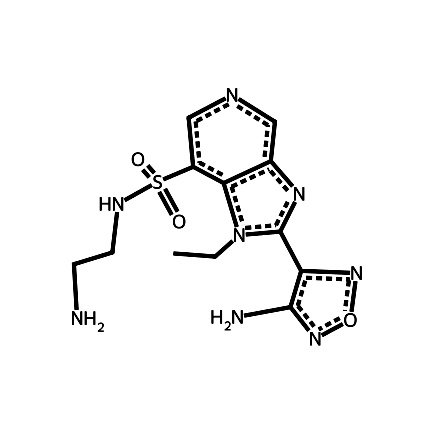 CCn1c(-c2nonc2N)nc2cncc(S(=O)(=O)NCCN)c21